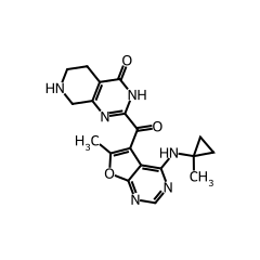 Cc1oc2ncnc(NC3(C)CC3)c2c1C(=O)c1nc2c(c(=O)[nH]1)CCNC2